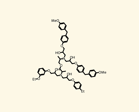 CCOc1cccc(OCC(O)CN(CC(O)COc2ccc(CC)cc2)C(C)COCC(C)N(CC(O)COc2ccc(Cc3ccc(OC)cc3)cc2)CC(O)COc2ccc(Cc3ccc(OC)cc3)cc2)c1